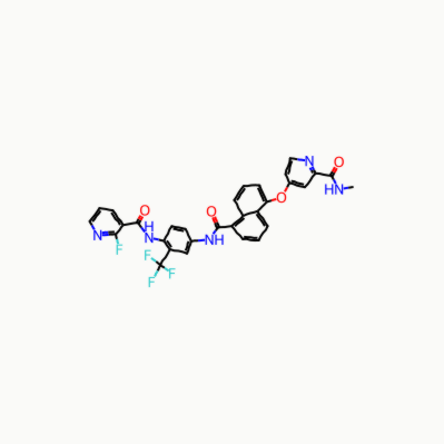 CNC(=O)c1cc(Oc2cccc3c(C(=O)Nc4ccc(NC(=O)c5cccnc5F)c(C(F)(F)F)c4)cccc23)ccn1